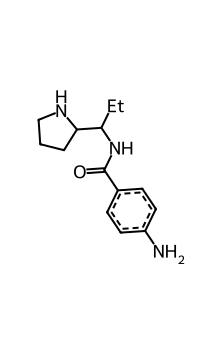 CCC(NC(=O)c1ccc(N)cc1)C1CCCN1